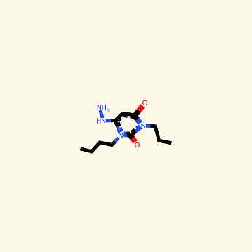 CCCCn1c(NN)cc(=O)n(CCC)c1=O